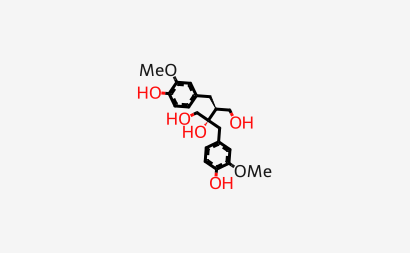 COc1cc(C[C@@H](CO)[C@](O)(CO)Cc2ccc(O)c(OC)c2)ccc1O